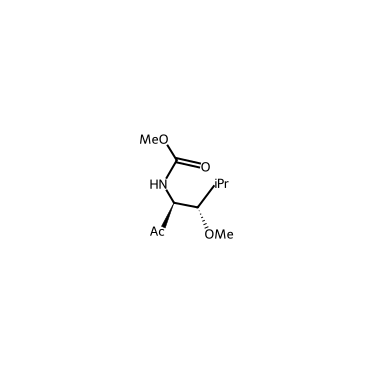 COC(=O)N[C@H](C(C)=O)[C@@H](OC)C(C)C